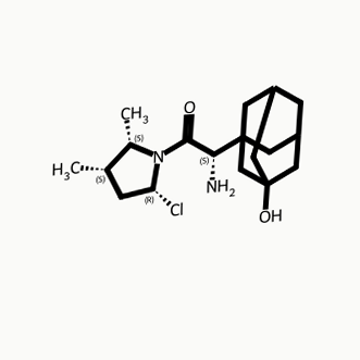 C[C@H]1C[C@@H](Cl)N(C(=O)[C@@H](N)C23CC4CC(CC(O)(C4)C2)C3)[C@H]1C